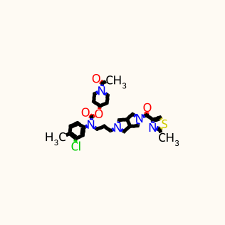 CC(=O)N1CCC(OC(=O)N(CCCN2CC3CN(C(=O)c4csc(C)n4)CC3C2)c2ccc(C)c(Cl)c2)CC1